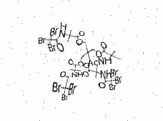 CC(=O)NC(C)(C)C(=O)OCC(COC(=O)C(C)(C)NC(=O)C(Br)(Br)Br)(COC(=O)C(C)(C)NC(=O)C(Br)(Br)Br)COC(=O)C(C)(C)NC(=O)C(Br)(Br)Br